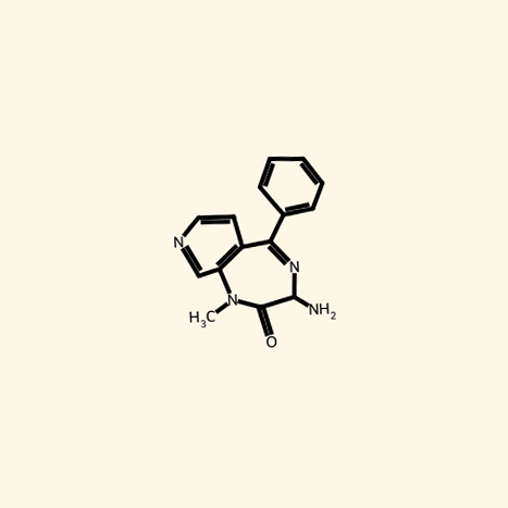 CN1C(=O)C(N)N=C(c2ccccc2)c2ccncc21